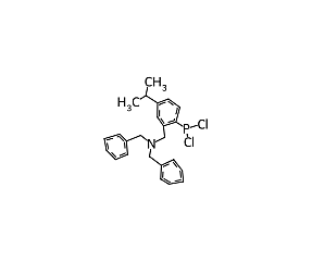 CC(C)c1ccc(P(Cl)Cl)c(CN(Cc2ccccc2)Cc2ccccc2)c1